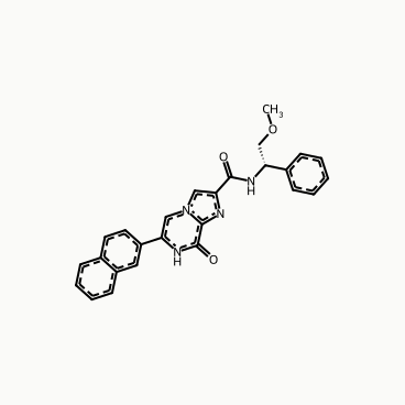 COC[C@@H](NC(=O)c1cn2cc(-c3ccc4ccccc4c3)[nH]c(=O)c2n1)c1ccccc1